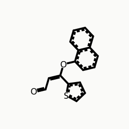 O=C/C=C(/Oc1cccc2ccccc12)c1cccs1